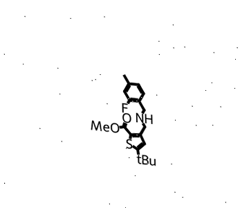 COC(=O)c1sc(C(C)(C)C)cc1CNCc1ccc(C)cc1F